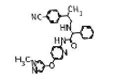 C[C@@H](CN[C@@H](C(=O)Nc1ccc(Oc2cnn(C)c2)cn1)c1ccccc1)c1ccc(C#N)cc1